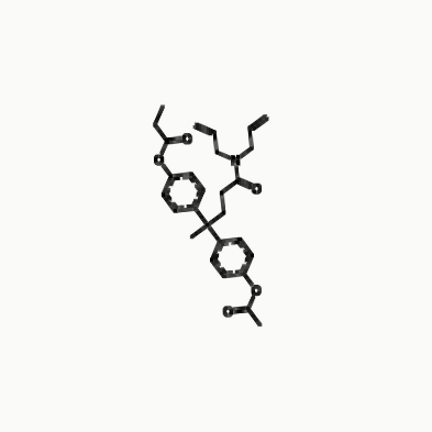 C=CCN(CC=C)C(=O)CCC(C)(c1ccc(OC(C)=O)cc1)c1ccc(OC(=O)CC)cc1